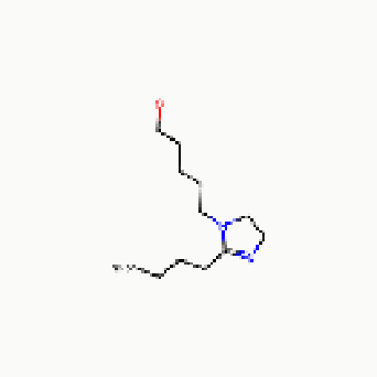 CCCCCCCCCCCCC1=NCCN1CCCCCO